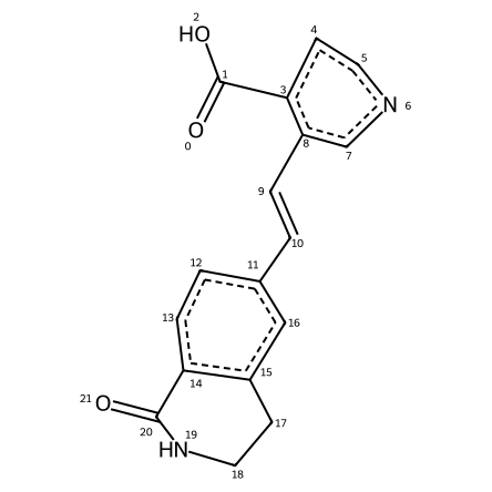 O=C(O)c1ccncc1/C=C/c1ccc2c(c1)CCNC2=O